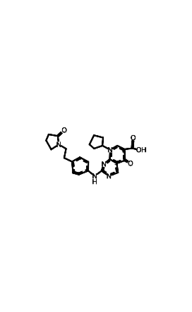 O=C(O)c1cn(C2CCCC2)c2nc(Nc3ccc(CCN4CCCC4=O)cc3)ncc2c1=O